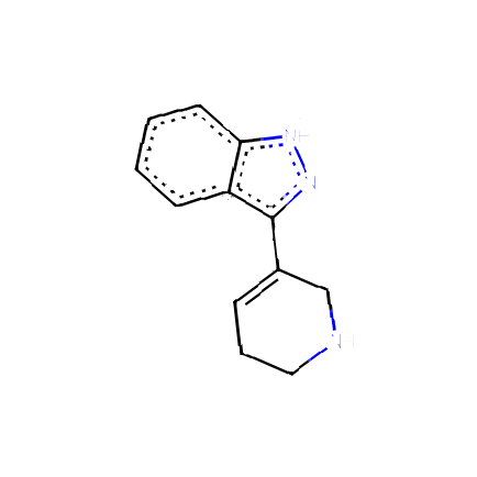 C1=C(c2n[nH]c3ccccc23)CNCC1